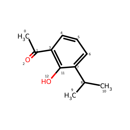 CC(=O)c1cccc(C(C)C)c1O